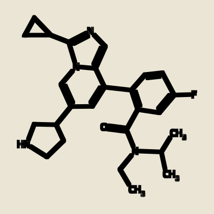 CCN(C(=O)c1cc(F)ccc1-c1cc(C2CCNC2)cn2c(C3CC3)ncc12)C(C)C